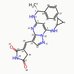 C[C@@H](Nc1cc(NC2CC2)n2ncc(C=C3CC(=O)NC3=O)c2n1)c1ccccc1